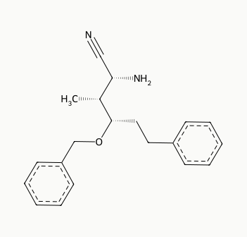 C[C@@H]([C@H](CCc1ccccc1)OCc1ccccc1)[C@@H](N)C#N